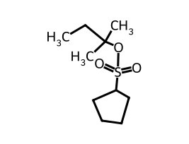 CCC(C)(C)OS(=O)(=O)C1CCCC1